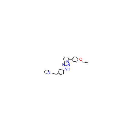 C#CCOc1ccc(-c2cccc3nc(Nc4ccc(CCCN5CCCC5)cc4)nn23)cc1